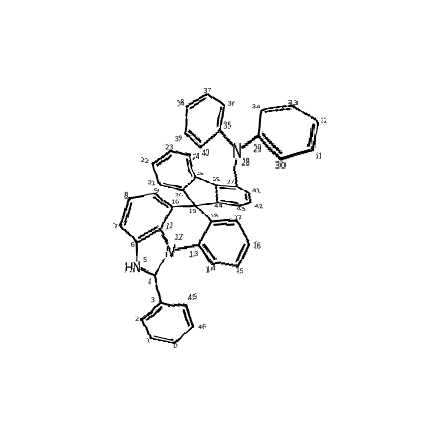 c1ccc(C2Nc3cccc4c3N2c2ccccc2C42c3ccccc3-c3c(N(c4ccccc4)c4ccccc4)cccc32)cc1